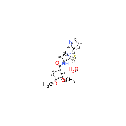 COc1ccc(C(=O)Nc2ccn3c2CSC3c2cccnc2)cc1OC.O